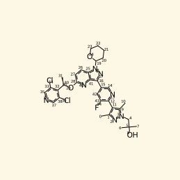 Cc1nn(CC(C)(C)O)c(C)c1-c1ncc(-c2nn(C3CCCCO3)c3ccc(O[C@H](C)c4c(Cl)cncc4Cl)nc23)cc1F